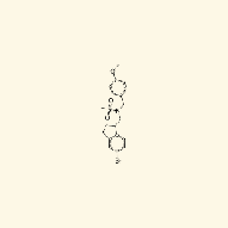 COc1ccc(CN(CC2CCc3cc(Br)ccc32)S(C)(=O)=O)cc1